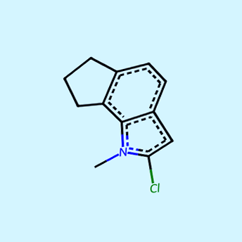 Cn1c(Cl)cc2ccc3c(c21)CCC3